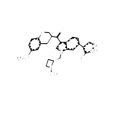 COc1ccc2c(c1)CC(C(=O)c1cn(C[C@@H]3CCN3C)c3cc(-c4cn[nH]c4F)ccc13)CO2